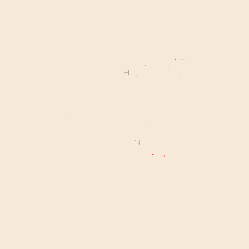 CC(C)(C)c1ccc(N2c3ccccc3B3c4sc5cc6c(cc5c4-c4cc(-c5ccc7sc8ccccc8c7c5)cc2c43)C(C)(C)CCC6(C)C)c(-c2ccccc2)c1